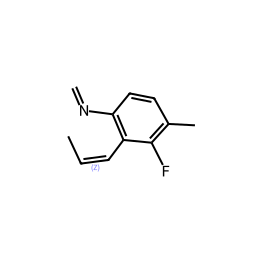 C=Nc1ccc(C)c(F)c1/C=C\C